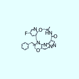 C[C@@H]1COc2ncc(F)cc2CN2c3nc4c(cnn4cc3OC[C@H]2Cc2ccccc2)C(=O)N1